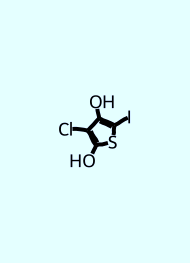 Oc1sc(I)c(O)c1Cl